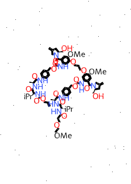 C=CCOC(=O)N[C@H](C(=O)N[C@@H](C)C(=O)Nc1ccc(COC(=O)Nc2cc(OCCCOc3cc(NC(=O)OCc4ccc(NC(=O)[C@H](C)NC(=O)[C@@H](NC(=O)CCOCCOC)C(C)C)cc4)c(C(=O)N4CC(=C)C[C@H]4CO)cc3OC)c(OC)cc2C(=O)N2CC(=C)C[C@H]2CO)cc1)C(C)C